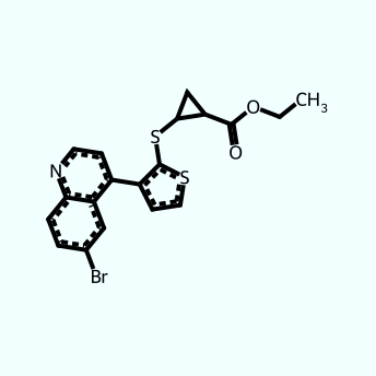 CCOC(=O)C1CC1Sc1sccc1-c1ccnc2ccc(Br)cc12